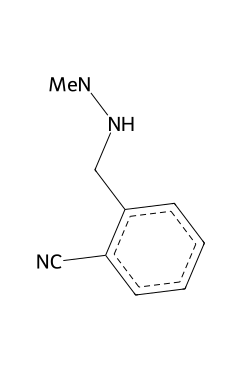 CNNCc1ccccc1C#N